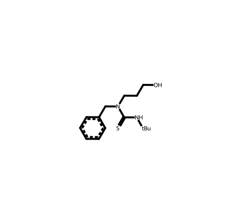 CC(C)(C)NC(=S)N(CCCO)Cc1ccccc1